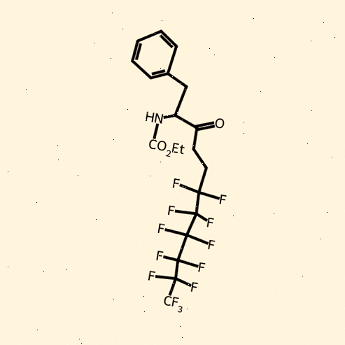 CCOC(=O)NC(Cc1ccccc1)C(=O)CCC(F)(F)C(F)(F)C(F)(F)C(F)(F)C(F)(F)C(F)(F)F